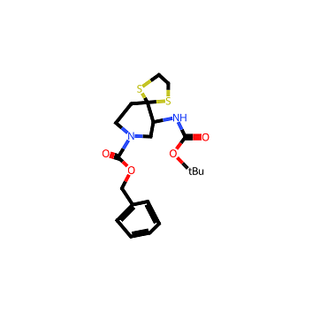 CC(C)(C)OC(=O)NC1CN(C(=O)OCc2ccccc2)CCC12SCCS2